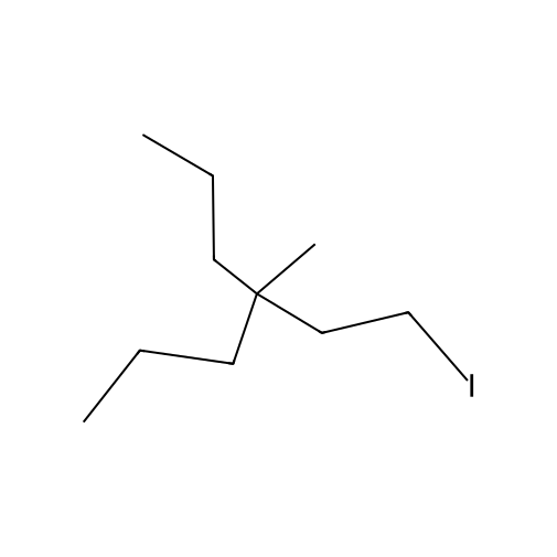 CCCC(C)(CCC)CCI